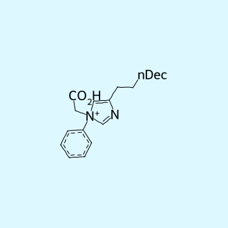 CCCCCCCCCCCCC1=C[N+](CC(=O)O)(c2ccccc2)C=N1